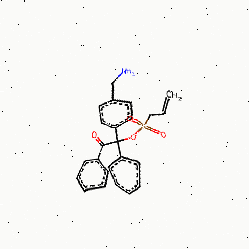 C=CCS(=O)(=O)OC(C(=O)c1ccccc1)(c1ccccc1)c1ccc(CN)cc1